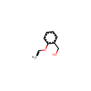 C=COc1ccccc1CO